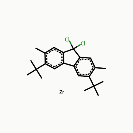 Cc1cc2c(cc1C(C)(C)C)-c1cc(C(C)(C)C)c(C)cc1C2(Cl)Cl.[Zr]